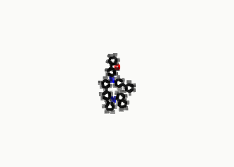 c1ccc(-c2ccc(N(c3cccc(-c4ccc5c6ccccc6n(-c6cccc7ccccc67)c5c4)c3)c3ccc4c(c3)oc3ccccc34)cc2)cc1